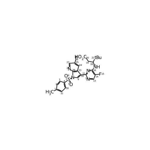 Cc1ccc(S(=O)(=O)n2cc(-c3ncc(F)c(NC(CC(=O)O)C(C)(C)C)n3)c3cc(F)cnc32)cc1